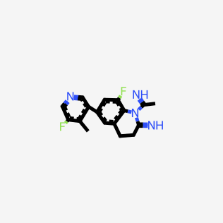 CC(=N)N1C(=N)CCc2cc(-c3cncc(F)c3C)cc(F)c21